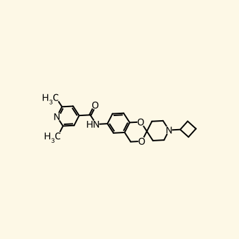 Cc1cc(C(=O)Nc2ccc3c(c2)COC2(CCN(C4CCC4)CC2)O3)cc(C)n1